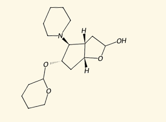 OC1C[C@H]2[C@H](N3CCCCC3)[C@@H](OC3CCCCO3)C[C@H]2O1